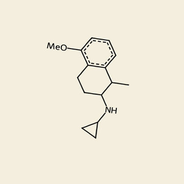 COc1cccc2c1CCC(NC1CC1)C2C